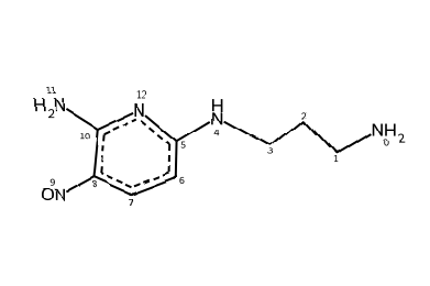 NCCCNc1ccc(N=O)c(N)n1